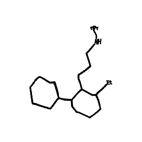 CCCNCCCC1C(CC)CCCC1C1CCCCC1